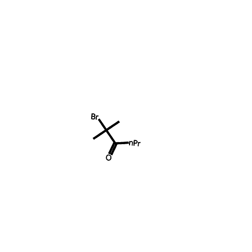 [CH2]CCC(=O)C(C)(C)Br